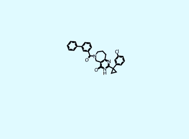 O=C(c1cccc(-c2ccccc2)c1)N1CCCc2nc(C3(c4cccc(Cl)c4)CC3)[nH]c(=O)c2C1